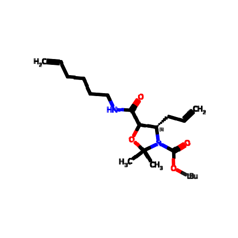 C=CCCCCNC(=O)C1OC(C)(C)N(C(=O)OC(C)(C)C)[C@H]1CC=C